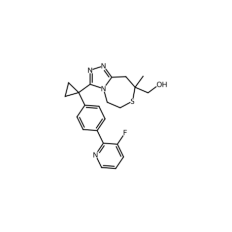 CC1(CO)Cc2nnc(C3(c4ccc(-c5ncccc5F)cc4)CC3)n2CCS1